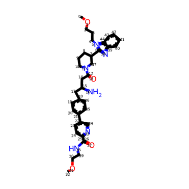 COCCCn1c(C2CCCN(C(=O)CC(N)Cc3ccc(-c4ccc(C(=O)NCCOC)nc4)cc3)C2)nc2ccccc21